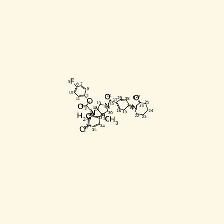 CN(C(=O)Oc1ccc(F)cc1)[C@@H]1CN(C(=O)C2=CCC(N3CCCCC3=O)C=C2)C[C@@]1(C)c1ccc(Cl)cc1